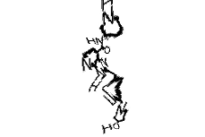 O=C(N[C@H]1CCCNC1)c1ccnc2[nH]c(-c3ccc(N4CCC(O)C4)s3)nc12